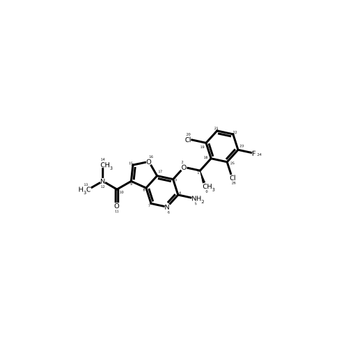 C[C@@H](Oc1c(N)ncc2c(C(=O)N(C)C)coc12)c1c(Cl)ccc(F)c1Cl